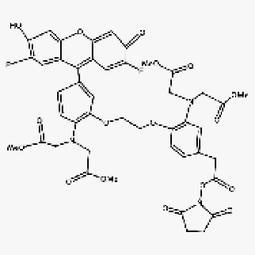 COC(=O)CN(CC(=O)OC)c1ccc(-c2c3cc(F)c(=O)cc-3oc3cc(O)c(F)cc23)cc1OCCOc1ccc(CC(=O)ON2C(=O)CCC2=O)cc1N(CC(=O)OC)CC(=O)OC